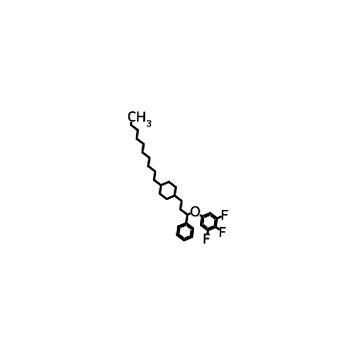 CCCCCCCCCCC1CCC(CCC(Oc2cc(F)c(F)c(F)c2)c2ccccc2)CC1